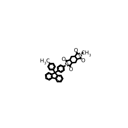 Cc1ccc(C2(c3ccc(N4C(=O)C5CC6C(=O)N(C)C(=O)C6CC5C4=O)cc3)c3ccccc3-c3ccccc32)cc1